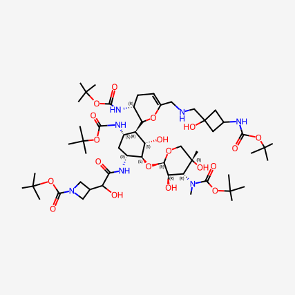 CN(C(=O)OC(C)(C)C)[C@@H]1[C@@H](O)[C@@H](O[C@@H]2[C@@H](O)[C@H](C3OC(CNCC4(O)CC(NC(=O)OC(C)(C)C)C4)=CC[C@H]3NC(=O)OC(C)(C)C)[C@@H](NC(=O)OC(C)(C)C)C[C@H]2NC(=O)C(O)C2CN(C(=O)OC(C)(C)C)C2)OC[C@]1(C)O